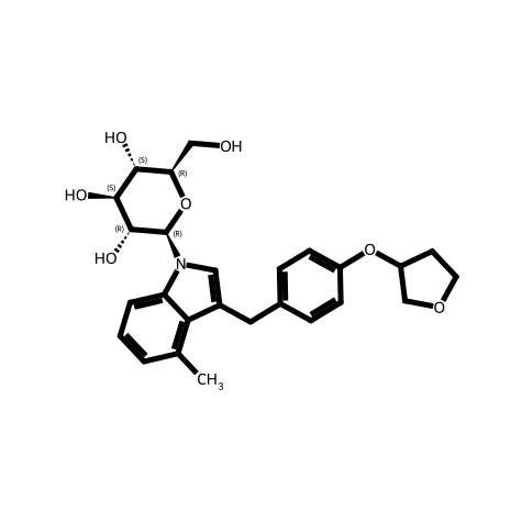 Cc1cccc2c1c(Cc1ccc(OC3CCOC3)cc1)cn2[C@@H]1O[C@H](CO)[C@@H](O)[C@H](O)[C@H]1O